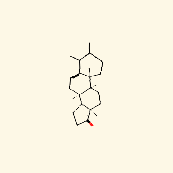 CC1CC[C@@]2(C)C(=CC[C@@H]3[C@H]2CC[C@]2(C)C(=O)CC[C@@H]32)C1C